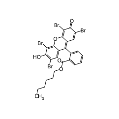 CCCCCCOC(=O)c1ccccc1-c1c2cc(Br)c(=O)c(Br)c-2oc2c(Br)c(O)c(Br)cc12